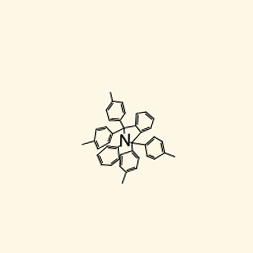 Cc1ccc(C2(c3ccc(C)cc3)c3ccccc3C(c3ccc(C)cc3)(c3ccc(C)cc3)N2c2ccccc2)cc1